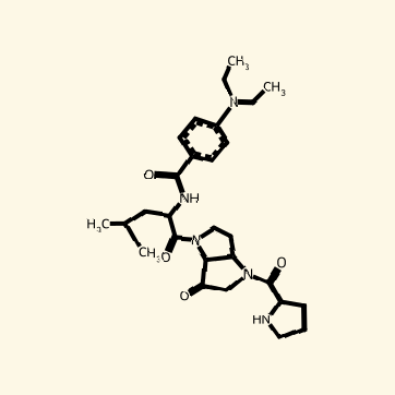 CCN(CC)c1ccc(C(=O)NC(CC(C)C)C(=O)N2CCC3C2C(=O)CN3C(=O)C2CCCN2)cc1